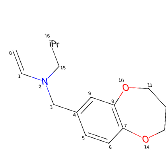 C=CN(Cc1ccc2c(c1)OCCCO2)CC(C)C